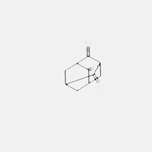 O=C1C2CC3CC1C(=O)C(C2)C3=O